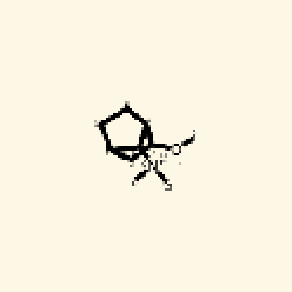 COC1CC2CCC1C2[N+](C)(C)C